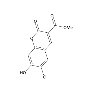 COC(=O)c1cc2cc(Cl)c(O)cc2oc1=O